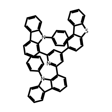 c1ccc(-n2c3ccccc3c3cccc(-c4cc(-c5ccc6sc7ccccc7c6c5)cc(-c5cccc6c7ccccc7n(-c7ccccc7)c56)n4)c32)cc1